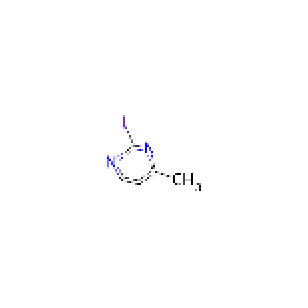 Cc1ccnc(I)n1